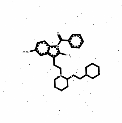 COc1ccc2c(c1)c(CCN1CCCCC1CCC1CCCCC1)c(C)n2C(=O)c1ccccc1